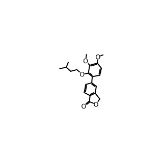 COc1ccc(-c2ccc3c(c2)COC3=O)c(OCCC(C)C)c1OC